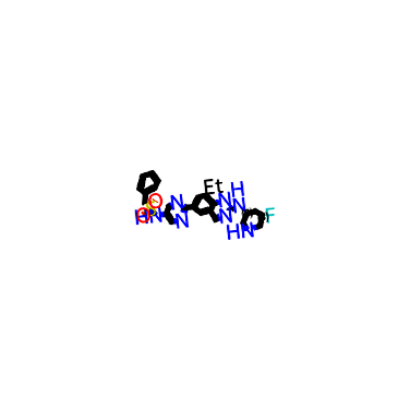 CCc1cc(-c2ncc(NS(=O)(=O)Cc3ccccc3)cn2)cc2cnc(N[C@@H]3CNC[C@@H](F)C3)nc12